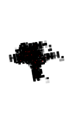 Cc1cn([C@H]2CC(OP(=S)(OCCOCCOCCN)OC[C@H]3O[C@@H](n4ccc(N)nc4=O)CC3C(C)C)[C@@H](COP(=O)(S)OC3C[C@H](n4cnc5c(=O)[nH]c(N)nc54)O[C@@H]3COP(=S)(S)OC3C[C@H](n4ccc(N)nc4=O)O[C@@H]3COP(=O)(S)OC3C[C@H](n4cc(Br)c(=O)[nH]c4=O)O[C@@H]3CO)O2)c(=O)[nH]c1=O